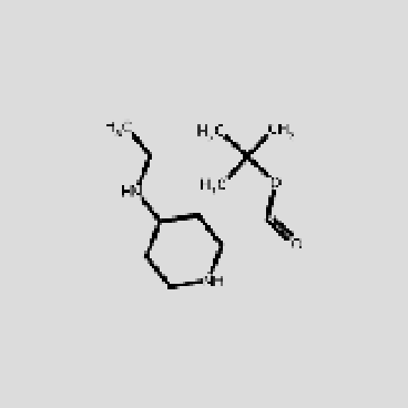 CC(C)(C)OC=O.CCNC1CCNCC1